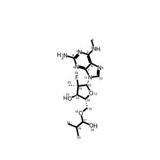 CNc1nc(N)nc2c1ncn2[C@@H]1O[C@H](COC(O)C(C)C)[C@@H](O)[C@@]1(C)F